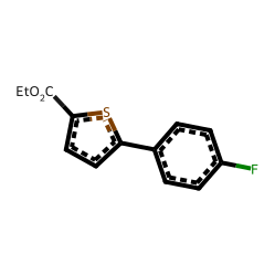 CCOC(=O)c1ccc(-c2ccc(F)cc2)s1